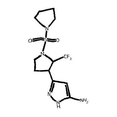 Nc1cc(C2CCN(S(=O)(=O)N3CCCC3)C2C(F)(F)F)n[nH]1